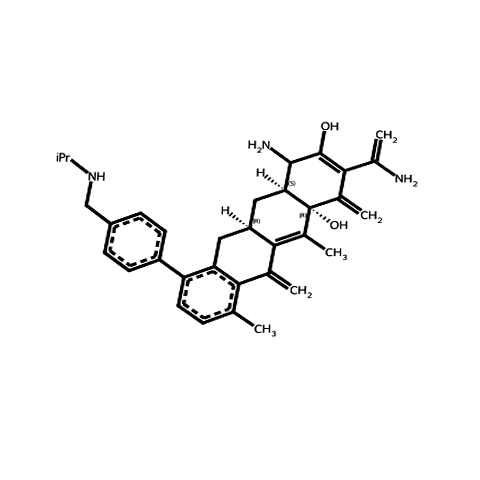 C=C(N)C1=C(O)C(N)[C@@H]2C[C@@H]3Cc4c(-c5ccc(CNC(C)C)cc5)ccc(C)c4C(=C)C3=C(C)[C@]2(O)C1=C